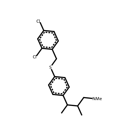 CNCC(C)C(C)c1ccc(SCc2ccc(Cl)cc2Cl)cc1